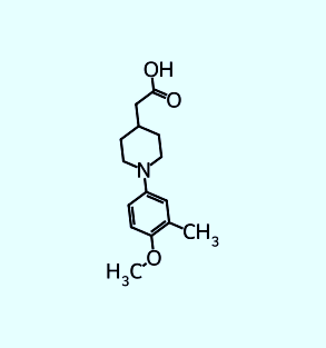 COc1ccc(N2CCC(CC(=O)O)CC2)cc1C